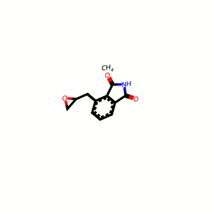 C.O=C1NC(=O)c2c(CC3CO3)cccc21